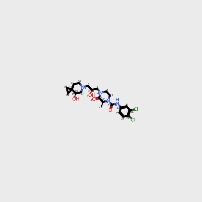 C[C@H]1C(=O)N(C[C@@H](O)CN2CCC3(CC3)[C@H](O)C2)CCN1C(=O)Nc1ccc(Cl)c(Cl)c1